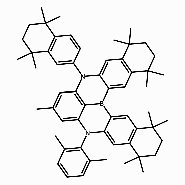 Cc1cc2c3c(c1)N(c1c(C)cccc1C)c1cc4c(cc1B3c1cc3c(cc1N2c1ccc2c(c1)C(C)(C)CCC2(C)C)C(C)(C)CCC3(C)C)C(C)(C)CCC4(C)C